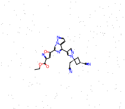 CCOC(=O)c1cc(-c2cn3nccc3c(-c3cnn([C@]4(CC#N)C[C@@H](C#N)C4)c3)n2)on1